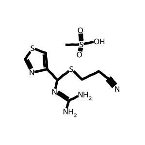 CS(=O)(=O)O.N#CCCSC(N=C(N)N)c1cscn1